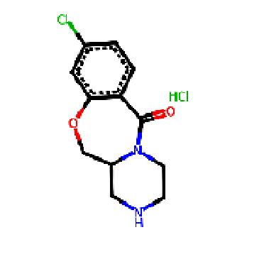 Cl.O=C1c2ccc(Cl)cc2OCC2CNCCN12